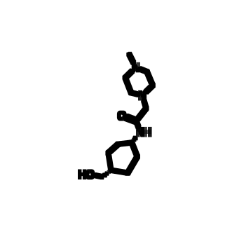 CN1CCN(CC(=O)N[C@H]2CC[C@@H](CO)CC2)CC1